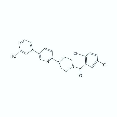 O=C(c1cc(Cl)ccc1Cl)N1CCN(c2ccc(-c3cccc(O)c3)cn2)CC1